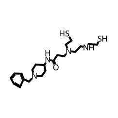 O=C(CCN(CCS)CCNCCS)NC1CCN(Cc2ccccc2)CC1